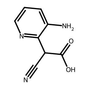 N#CC(C(=O)O)c1ncccc1N